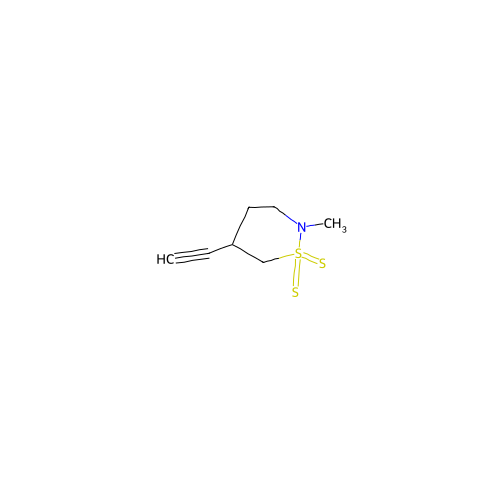 C#CC1CCN(C)S(=S)(=S)C1